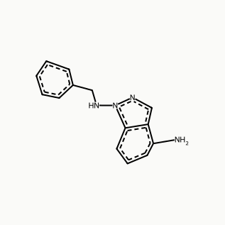 Nc1cccc2c1cnn2NCc1ccccc1